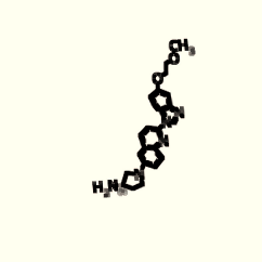 COCCOc1ccc2c(c1)ncn2-c1ccc2cc(N3CC[C@H](N)C3)ccc2n1